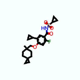 CC1(COc2cc(F)c(C(=O)NS(=O)(=O)C3CC3)cc2C2CC2)CCC2(CC1)CC2